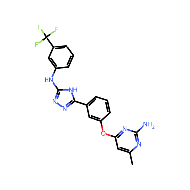 Cc1cc(Oc2cccc(-c3nnc(Nc4cccc(C(F)(F)F)c4)[nH]3)c2)nc(N)n1